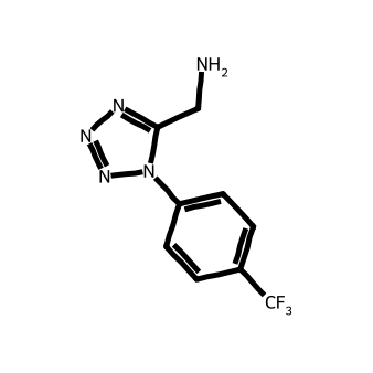 NCc1nnnn1-c1ccc(C(F)(F)F)cc1